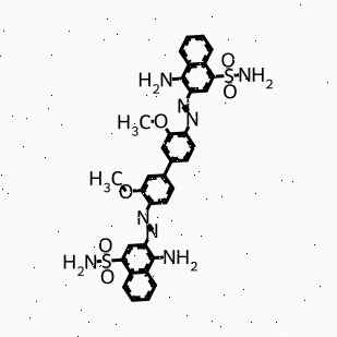 COc1cc(-c2ccc(/N=N/c3cc(S(N)(=O)=O)c4ccccc4c3N)c(OC)c2)ccc1/N=N/c1cc(S(N)(=O)=O)c2ccccc2c1N